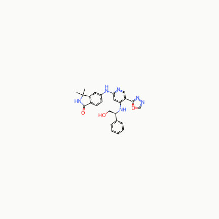 CC1(C)NC(=O)c2ccc(Nc3cc(N[C@H](CO)c4ccccc4)c(-c4nnco4)cn3)cc21